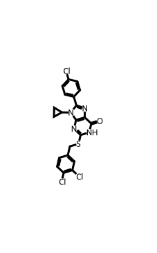 O=c1[nH]c(SCc2ccc(Cl)c(Cl)c2)nc2c1nc(-c1ccc(Cl)cc1)n2C1CC1